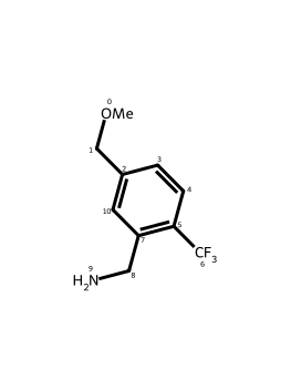 COCc1ccc(C(F)(F)F)c(CN)c1